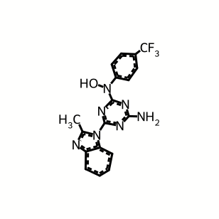 Cc1nc2ccccc2n1-c1nc(N)nc(N(O)c2ccc(C(F)(F)F)cc2)n1